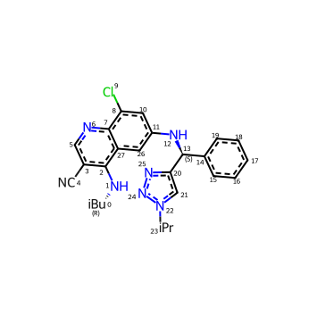 CC[C@@H](C)Nc1c(C#N)cnc2c(Cl)cc(N[C@@H](c3ccccc3)c3cn(C(C)C)nn3)cc12